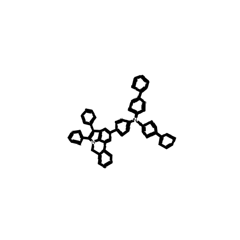 c1ccc(-c2ccc(N(c3ccc(-c4ccccc4)cc3)c3ccc(-c4cc5c6c(c4)c(-c4ccccc4)c(-c4ccccc4)n6Cc4ccccc4-5)cc3)cc2)cc1